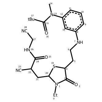 CCN1C(=O)C(CCNc2cccc(N(C)C(=O)C(C)(C)C)c2)SC1CC(C#N)C(=O)NCC#N